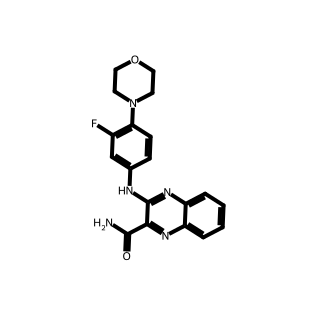 NC(=O)c1nc2ccccc2nc1Nc1ccc(N2CCOCC2)c(F)c1